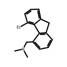 CCc1cccc2c1-c1c(cccc1CN(C)C)C2